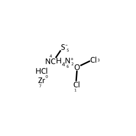 Cl.ClOCl.N#C[S-].[NH4+].[Zr]